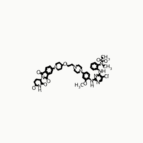 COc1cc(N2CCN(CCOC3CCN(c4ccc5c(c4)C(=O)N(C4CCC(=O)NC4=O)C5=O)CC3)CC2)ccc1Nc1ncc(Cl)c(Nc2ccccc2N(C)S(C)(=O)=O)n1